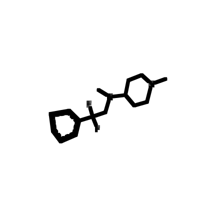 CN1CCC(N(C)CC(F)(F)c2ccccc2)CC1